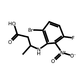 CC(CC(=O)O)Nc1c(Br)ccc(F)c1[N+](=O)[O-]